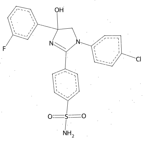 NS(=O)(=O)c1ccc(C2=NC(O)(c3cccc(F)c3)CN2c2ccc(Cl)cc2)cc1